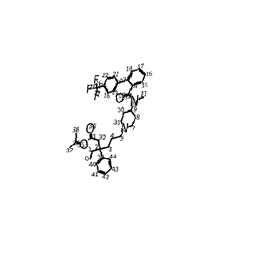 CCC(CCCN1CCC(N(C)C(=O)c2ccccc2-c2ccc(C(F)(F)F)cc2)CC1)(CC(=O)OC(C)C)c1ccccc1